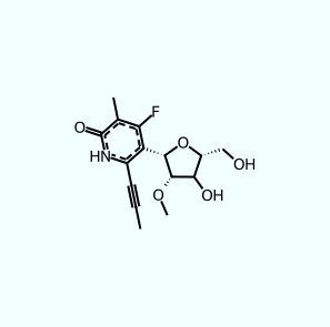 CC#Cc1[nH]c(=O)c(C)c(F)c1[C@@H]1O[C@H](CO)C(O)[C@@H]1OC